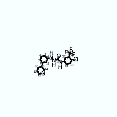 O=C(NNc1cccc(-c2cccnc2)c1)Nc1ccc(Cl)c(C(F)(F)F)c1